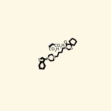 O=C(O)/C=C\C(=O)O.O=C1N(CCCCN2CCN(c3csc4ccccc34)CC2)CSC12CCCCC2